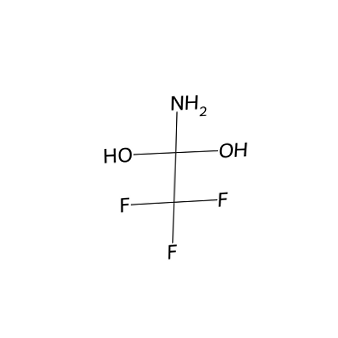 NC(O)(O)C(F)(F)F